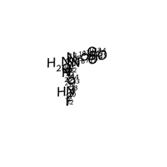 Nc1ncc(-c2ccc(S(=O)(=O)[C@@H]3CCOC3)cc2)nc1-c1cc(-c2ccc(CNCCF)cc2)no1